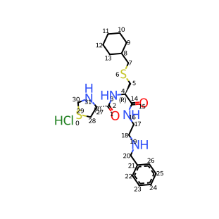 Cl.O=C(N[C@@H](CSCC1CCCCC1)C(=O)NCCNCc1ccccc1)[C@@H]1CSCN1